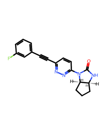 O=C1N[C@H]2CCC[C@H]2N1c1ccc(C#Cc2cccc(F)c2)nn1